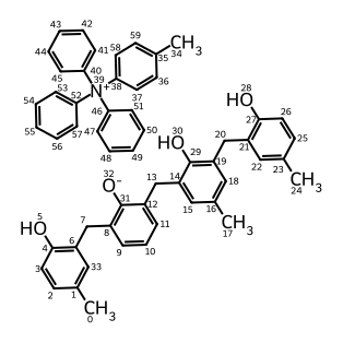 Cc1ccc(O)c(Cc2cccc(Cc3cc(C)cc(Cc4cc(C)ccc4O)c3O)c2[O-])c1.Cc1ccc([N+](c2ccccc2)(c2ccccc2)c2ccccc2)cc1